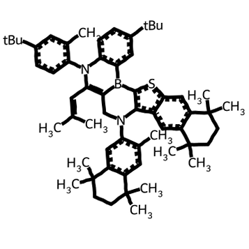 CC(C)=CC1=C2CN(c3cc4c(cc3C)C(C)(C)CCC4(C)C)c3c(sc4cc5c(cc34)C(C)(C)CCC5(C)C)B2c2cc(C(C)(C)C)ccc2N1c1ccc(C(C)(C)C)cc1C